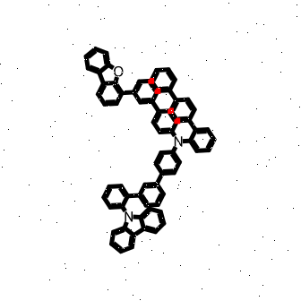 c1ccc(-c2ccc(-c3ccccc3N(c3ccc(-c4cccc(-c5ccccc5-n5c6ccccc6c6ccccc65)c4)cc3)c3ccc(-c4cccc(-c5cccc6c5oc5ccccc56)c4)cc3)cc2)cc1